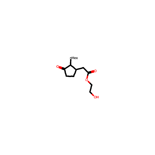 CCCCCCC1C(=O)CCC1CC(=O)OCCO